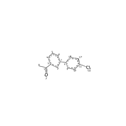 CC(=O)c1cc[c]c(-c2ccc(Cl)cc2)c1